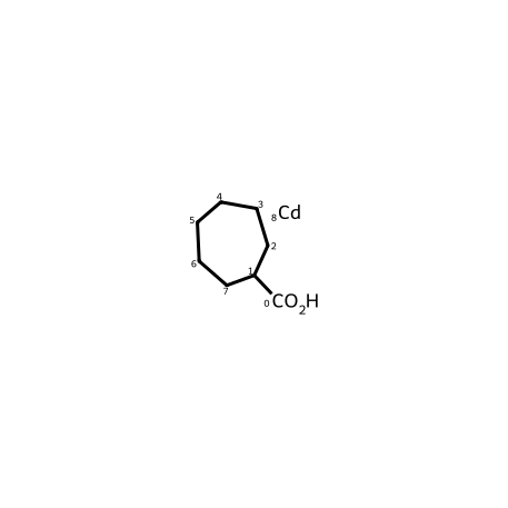 O=C(O)C1CCCCCC1.[Cd]